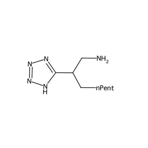 CCCCCCC(CN)c1nnn[nH]1